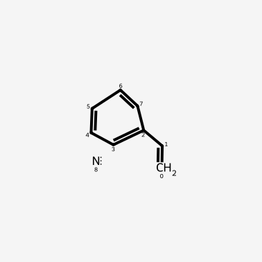 C=Cc1ccccc1.[N]